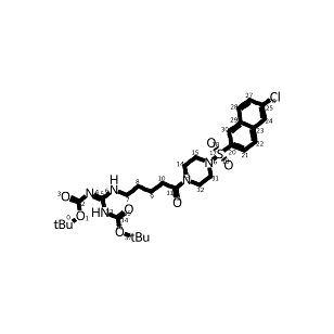 CC(C)(C)OC(=O)N=C(NCCCCC(=O)N1CCN(S(=O)(=O)c2ccc3cc(Cl)ccc3c2)CC1)NC(=O)OC(C)(C)C